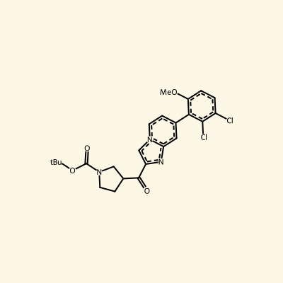 COc1ccc(Cl)c(Cl)c1-c1ccn2cc(C(=O)C3CCN(C(=O)OC(C)(C)C)C3)nc2c1